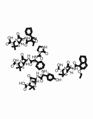 CC1(C)S[C@@H]2[C@H](NC(=O)[C@H](N)c3ccc(O)cc3)C(=O)N2[C@H]1C(=O)O.CC1(C)S[C@@H]2[C@H](NC(=O)[C@H](NC(=O)N3CCNC3=O)c3ccccc3)C(=O)N2[C@H]1C(=O)O.CCOc1ccc2ccccc2c1C(=O)N[C@@H]1C(=O)N2[C@@H]1SC(C)(C)[C@@H]2C(=O)O.Cc1onc(-c2ccccc2)c1C(=O)N[C@@H]1C(=O)N2[C@@H]1SC(C)(C)[C@@H]2C(=O)O